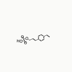 C=Cc1ccc(C=CCOS(=O)(=O)O)cc1